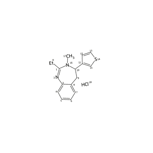 CCC1=Nc2ccccc2CC(c2ccsc2)N1C.Cl